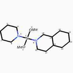 CO[Si](OC)(N1CCCCC1)N1CCC2CCCCC2C1